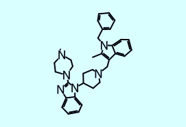 Cc1c(CN2CCC(n3c(N4CCN(C)CC4)nc4ccccc43)CC2)c2ccccc2n1Cc1ccccc1